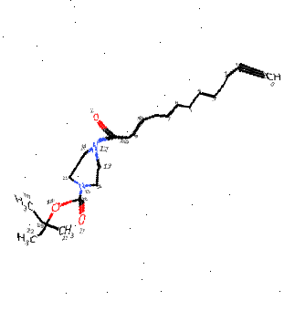 C#CCCCCCCCCC(=O)N1CCN(C(=O)OC(C)(C)C)CC1